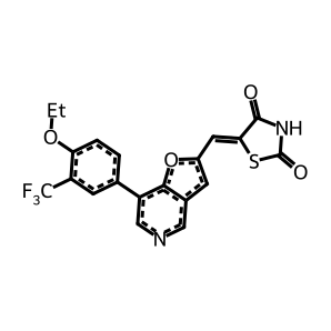 CCOc1ccc(-c2cncc3cc(/C=C4\SC(=O)NC4=O)oc23)cc1C(F)(F)F